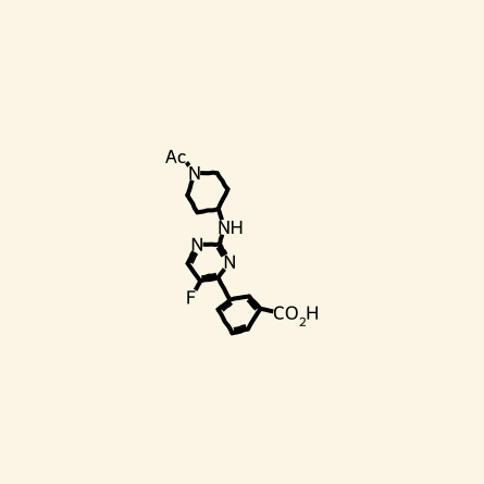 CC(=O)N1CCC(Nc2ncc(F)c(-c3cccc(C(=O)O)c3)n2)CC1